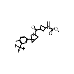 COC(=O)NC1CC(C(=O)N2CC3CC3(c3ccc(C)c(C(F)(F)F)c3)C2)C1